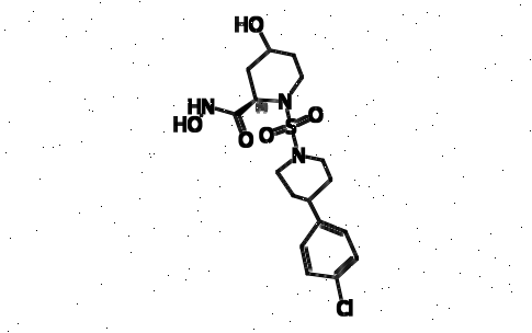 O=C(NO)[C@H]1CC(O)CCN1S(=O)(=O)N1CCC(c2ccc(Cl)cc2)CC1